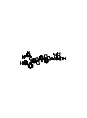 Cc1c(COc2cc(OCc3cncc(C#N)c3)c(CN3CCCCC3c3cn[nH]c3)cc2Cl)cccc1-c1cccc(OCCCNC[C@H](O)CO)c1Cl